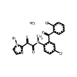 CCn1ccnc1C(=S)C(=O)N(C)c1ccc(Cl)cc1C(=O)c1ccccc1Cl.Cl